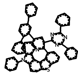 c1ccc(-c2ccc(-c3ccccc3)c(-c3cnc(-c4cccc5sc6ccc7c(c8ccccc8n7-c7ccccc7)c6c45)c(-c4nc(-c5ccccc5)nc(-c5ccccc5)n4)c3)c2)cc1